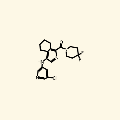 O=C(c1ncc(Nc2cncc(Cl)c2)c2c1CCCC2)N1CCC(F)(F)CC1